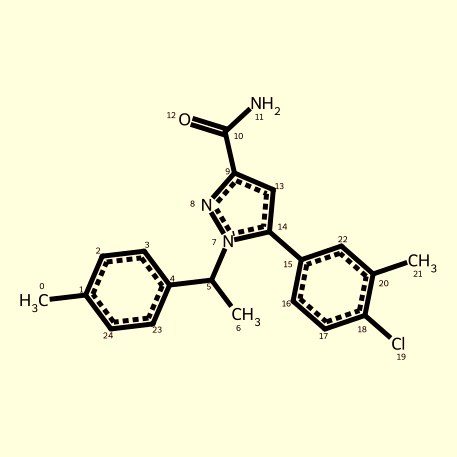 Cc1ccc(C(C)n2nc(C(N)=O)cc2-c2ccc(Cl)c(C)c2)cc1